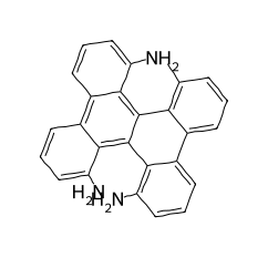 Cc1cccc2c3cccc(N)c3c3c4c(N)cccc4c4cccc(N)c4c3c12